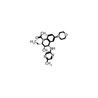 CC[C@H]1[C@H](C)[C@@H](Nc2cnc(C)cn2)c2cc(N3CCOCC3)ccc2N1C(C)=O